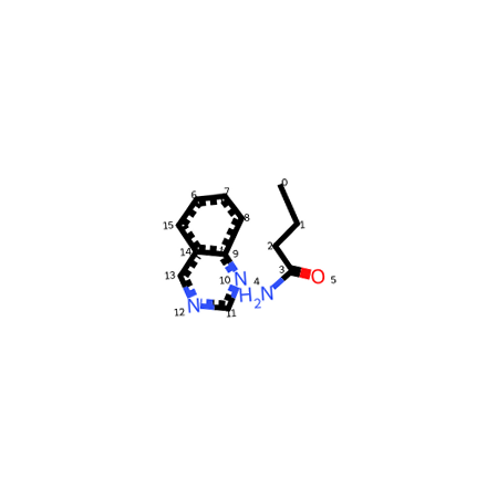 CCCC(N)=O.c1ccc2ncncc2c1